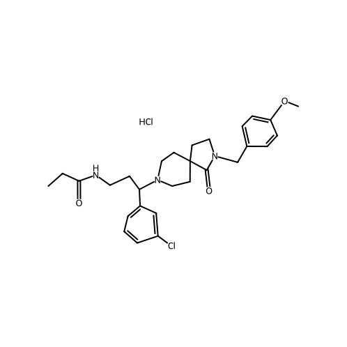 CCC(=O)NCCC(c1cccc(Cl)c1)N1CCC2(CCN(Cc3ccc(OC)cc3)C2=O)CC1.Cl